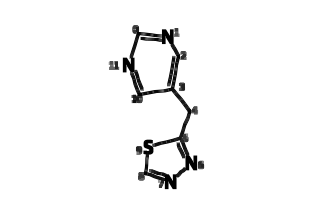 c1ncc(Cc2nncs2)cn1